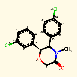 CN1C(=O)CO[C@@H](c2cccc(Cl)c2)[C@H]1c1ccc(Cl)cc1